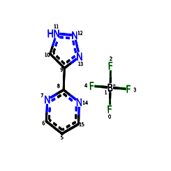 F[B-](F)(F)F.c1cnc(-c2c[nH]nn2)nc1